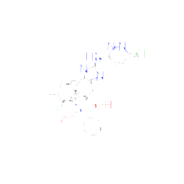 O=C1c2ccccc2C(O)(c2ccc3[nH]c(Nc4ccc(Cl)nn4)nc3c2)N1c1cccc(Cl)c1F